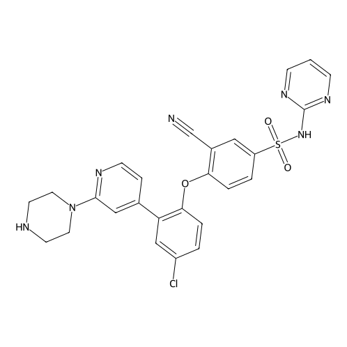 N#Cc1cc(S(=O)(=O)Nc2ncccn2)ccc1Oc1ccc(Cl)cc1-c1ccnc(N2CCNCC2)c1